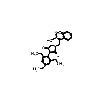 CCc1cc(CC)c(C2C(=O)CC(Cc3c(O)ncc4ccccc34)C2=O)c(CC)c1